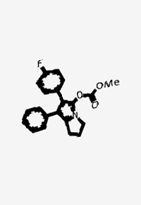 COC(=O)Oc1c(-c2ccc(F)cc2)c(-c2ccccc2)c2n1CCC2